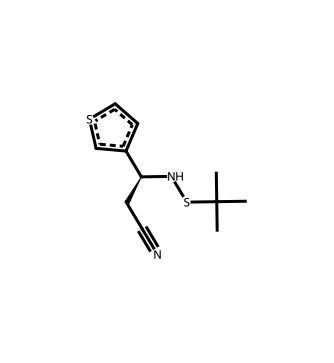 CC(C)(C)SN[C@@H](CC#N)c1ccsc1